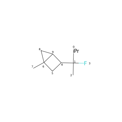 CC(C)C(C)(F)C1CC2(C)CC12